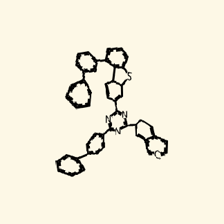 C1=CC2c3c(cccc3-c3cccc(-c4ccccc4)c3)SC2C=C1c1nc(-c2ccc(-c3ccccc3)cc2)nc(C2C=c3ccccc3=CC2)n1